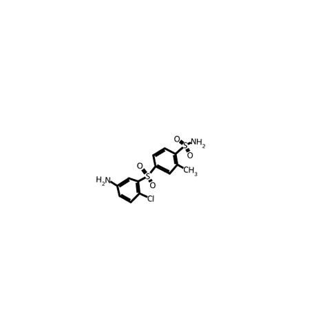 Cc1cc(S(=O)(=O)c2cc(N)ccc2Cl)ccc1S(N)(=O)=O